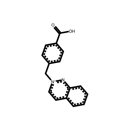 O=C(O)c1ccc(C[n+]2ccc3ccccc3n2)cc1